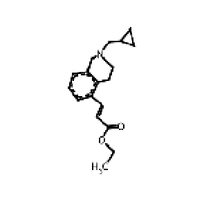 CCOC(=O)/C=C/c1cccc2c1CCN(CC1CC1)C2